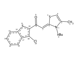 CCCCN1C(C)=CSC1=CC(=O)c1sc2ccccc2c1Cl